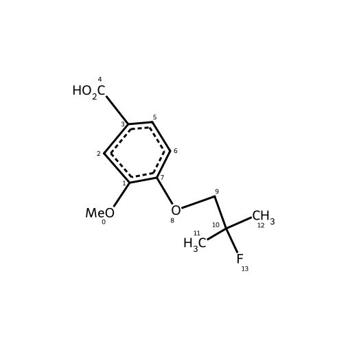 COc1cc(C(=O)O)ccc1OCC(C)(C)F